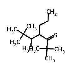 CCCC(C(=S)C(C)(C)C)C(C)C(C)(C)C